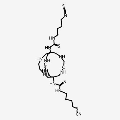 N#CSCCCCNC(=S)NC12CNCCNCC(NC(=S)NCCCCN=C=S)(CNCCNC1)CNCCNC2